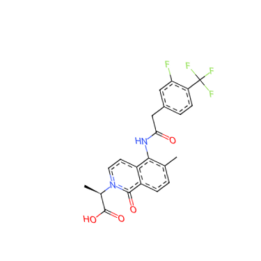 Cc1ccc2c(=O)n([C@H](C)C(=O)O)ccc2c1NC(=O)Cc1ccc(C(F)(F)F)c(F)c1